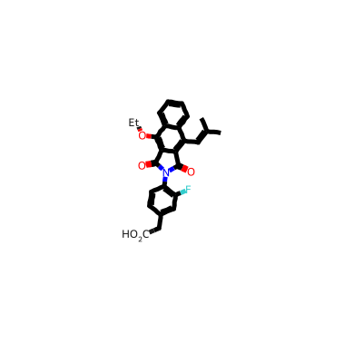 CCOc1c2c(c(C=C(C)C)c3ccccc13)C(=O)N(c1ccc(CC(=O)O)cc1F)C2=O